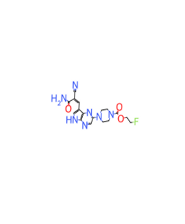 N#CC(=Cc1c[nH]c2ncc(N3CCN(C(=O)OCCF)CC3)nc12)C(N)=O